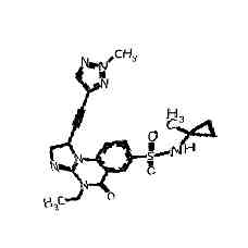 CCN1C(=O)c2cc(S(=O)(=O)NC3(C)CC3)ccc2N2C1=NCC2C#Cc1cnn(C)n1